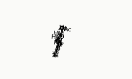 CC(=O)N1CCCC1CNC(=O)Nc1cnc2c(ccn2COCC[Si](C)(C)C)n1